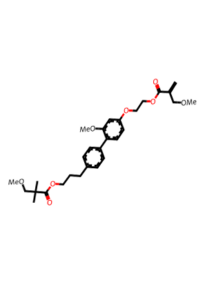 C=C(COC)C(=O)OCCOc1ccc(-c2ccc(CCCOC(=O)C(C)(C)COC)cc2)c(OC)c1